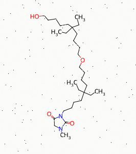 CCC(CC)(CCCCCO)CCCCOCCCCC(CC)(CC)CCCCN1C(=O)CN(C)C1=O